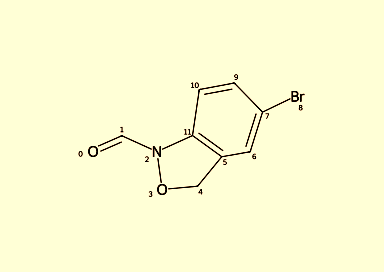 O=CN1OCc2cc(Br)ccc21